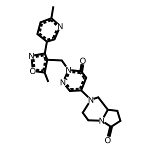 Cc1ccc(-c2noc(C)c2Cn2ncc(N3CCN4C(=O)CCC4C3)cc2=O)cn1